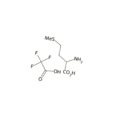 CSCCC(N)C(=O)O.O=C(O)C(F)(F)F